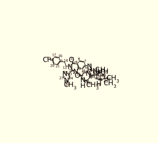 C[C@H]1[C@@H](NC(=Nc2ccc3c(=O)n(CCc4ccc(Cl)cc4)c(-c4cn(C)cn4)nc3c2)N2CC(=O)N[C@@H](C)C2)C[C@@H]2C[C@@H]1C2(C)C